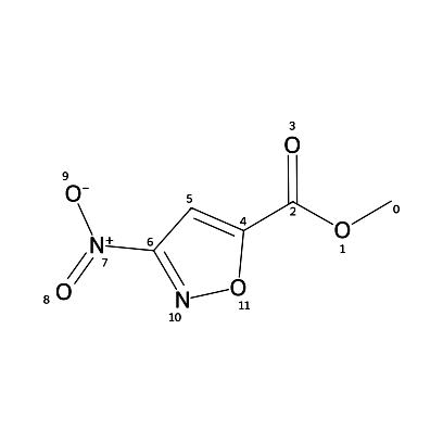 COC(=O)c1cc([N+](=O)[O-])no1